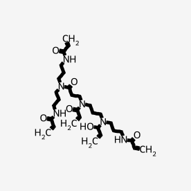 C=CC(=O)NCCCN(CCCNC(=O)C=C)C(=O)CCN(CCCN(CCCNC(=O)C=C)C(O)C=C)C(=O)C=C